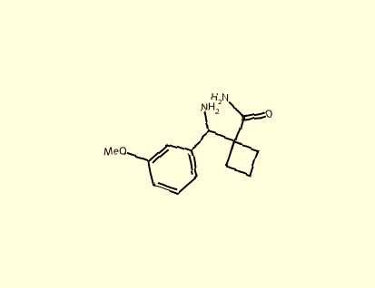 COc1cccc(C(N)C2(C(N)=O)CCC2)c1